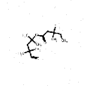 C=CC(C)(C)CC(C)(C)OC(=O)CC(C)(C)CC